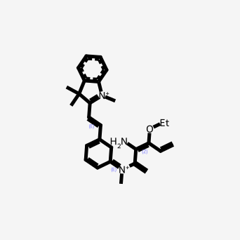 C=C/C(OCC)=C(/N)C(=C)/[N+](C)=C1/C=CC=C(/C=C/C2=[N+](C)c3ccccc3C2(C)C)C1